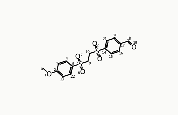 COc1ccc(S(=O)(=O)CCS(=O)(=O)c2ccc(C=O)cc2)cc1